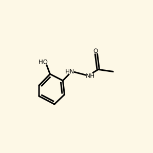 CC(=O)NNc1ccccc1O